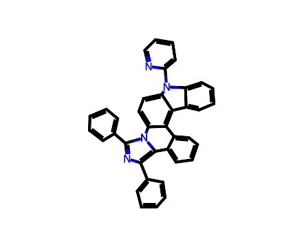 c1ccc(-c2nc(-c3ccccc3)n3c4ccc5c(c6ccccc6n5-c5ccccn5)c4c4ccccc4c23)cc1